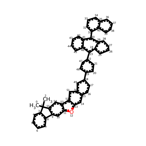 CC1(C)c2ccccc2-c2cc3oc4cc5ccc(-c6ccc(-c7c8ccccc8c(-c8cccc9ccccc89)c8ccccc78)cc6)cc5cc4c3cc21